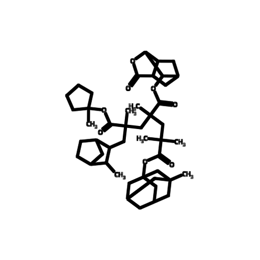 CC1C2CCC(C2)C1CC(C)(CC(C)(CC(C)(C)C(=O)OC12CC3CC(CC(C)(C3)C1)C2)C(=O)OC1C2CC3C(=O)OC1C3C2)C(=O)OC1(C)CCCC1